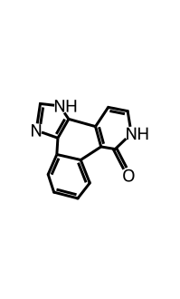 O=c1[nH]ccc2c3[nH]cnc3c3ccccc3c12